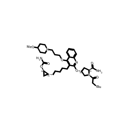 COC1CCN(CCCOc2c(CCCCC[C@@H]3C[C@H]3OC(N)=O)c(O[C@@H]3C[C@@H](C(N)=O)N(C(=O)CC(C)(C)C)C3)nc3ccccc23)CC1